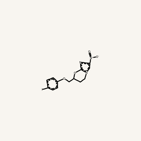 O=[N+]([O-])c1cn2c(n1)OC(COc1ccc(I)cc1)CC2